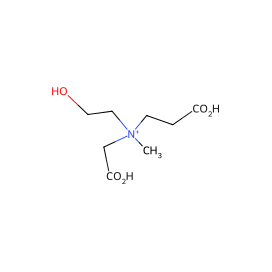 C[N+](CCO)(CCC(=O)O)CC(=O)O